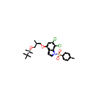 Cc1ccc(S(=O)(=O)n2ccc3c(OCC(C)CO[Si](C)(C)C(C)(C)C)cc(Cl)c(Cl)c32)cc1